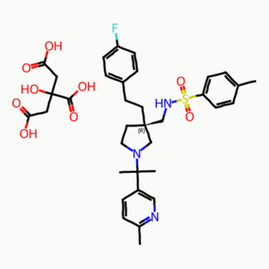 Cc1ccc(S(=O)(=O)NC[C@]2(CCc3ccc(F)cc3)CCN(C(C)(C)c3ccc(C)nc3)C2)cc1.O=C(O)CC(O)(CC(=O)O)C(=O)O